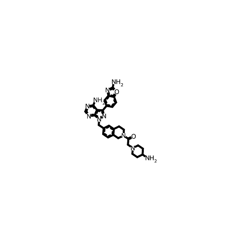 Nc1nc2cc(-c3nn(Cc4ccc5c(c4)CCN(C(=O)CN4CCC(N)CC4)C5)c4ncnc(N)c34)ccc2o1